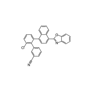 N#Cc1cccc(-c2c(Cl)cccc2-c2ccc(-c3nc4ccccc4o3)c3ccccc23)c1